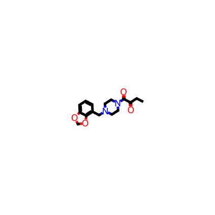 CCC(=O)C(=O)N1CCN(Cc2cccc3c2OCO3)CC1